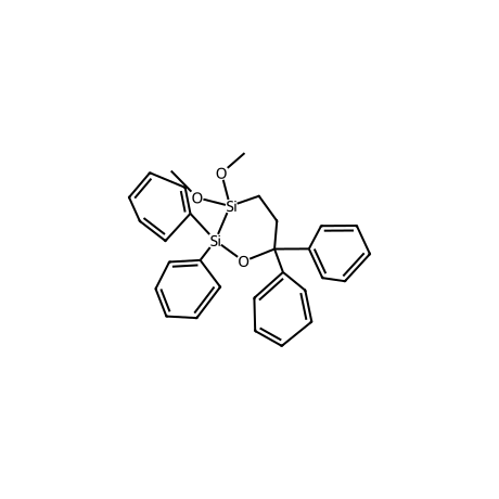 CO[Si]1(OC)CCC(c2ccccc2)(c2ccccc2)O[Si]1(c1ccccc1)c1ccccc1